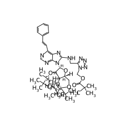 CC(C)(C)C(=O)OCn1nnnc1CNc1nc2c(C=Cc3ccccc3)ncnc2n1[C@@H]1O[C@@H]2CO[Si](C(C)(C)C)(C(C)(C)C)O[C@H]2[C@H]1O[Si](C)(C)C(C)(C)C